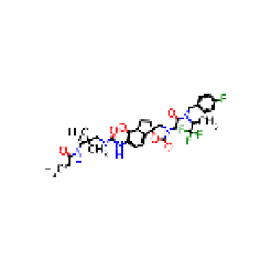 CCC(=O)NCC(C)(C)CNC(=O)NC1=CC=C2C(CC[C@]23CN(CC(=O)N(Cc2ccc(F)cc2)C(C)C(F)(F)F)C(=O)O3)C1=O